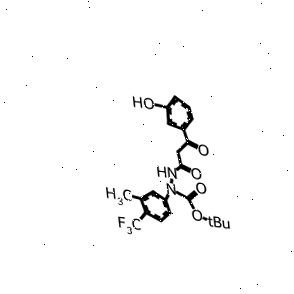 Cc1cc(N(NC(=O)CC(=O)c2cccc(O)c2)C(=O)OC(C)(C)C)ccc1C(F)(F)F